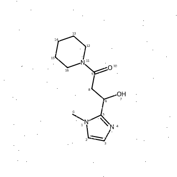 Cn1ccnc1C(O)CC(=O)N1CCCCC1